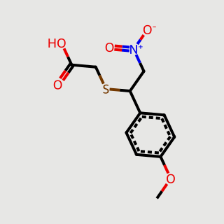 COc1ccc(C(C[N+](=O)[O-])SCC(=O)O)cc1